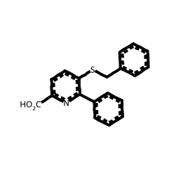 O=C(O)c1ccc(SCc2ccccc2)c(-c2ccccc2)n1